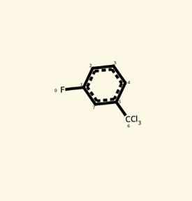 Fc1cc[c]c(C(Cl)(Cl)Cl)c1